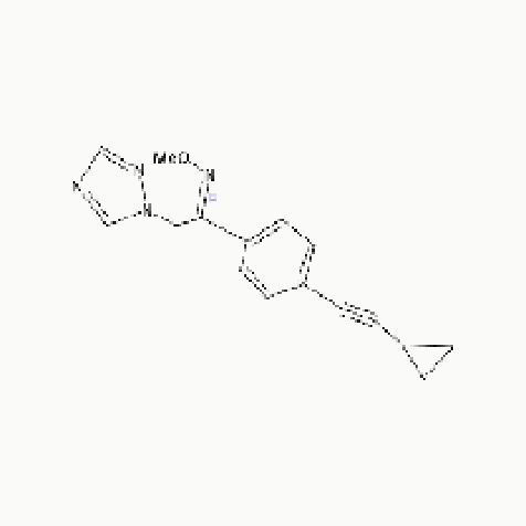 CO/N=C(\Cn1cncn1)c1ccc(C#CC2CC2)cc1